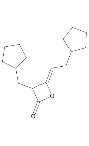 O=C1O/C(=C\CC2CCCC2)C1CC1CCCC1